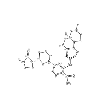 CN1CCN2c3ccc(Nc4nc(N5CCC[C@@H](N6CCN(C)C6=O)C5)cnc4C(N)=O)cc3OC[C@H]2C1